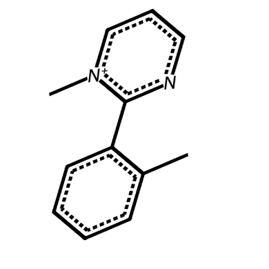 Cc1ccccc1-c1nccc[n+]1C